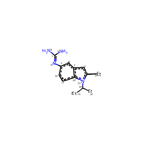 CCc1cc2cc(N=C(N)N)ccc2n1C(CC)CC